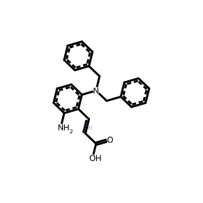 Nc1cccc(N(Cc2ccccc2)Cc2ccccc2)c1/C=C/C(=O)O